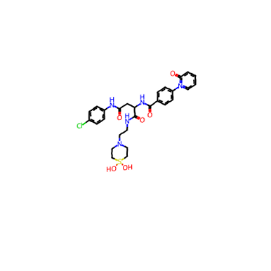 O=C(CC(NC(=O)c1ccc(-n2ccccc2=O)cc1)C(=O)NCCN1CCS(O)(O)CC1)Nc1ccc(Cl)cc1